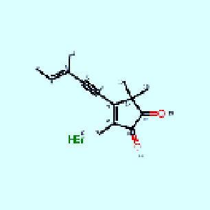 Br.CC=C(C)C#CC1=C(C)C(=O)C(=O)C1(C)C